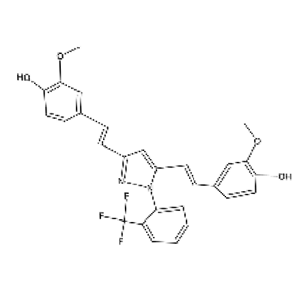 COc1cc(/C=C/c2cc(/C=C/c3ccc(O)c(OC)c3)n(-c3ccccc3C(F)(F)F)n2)ccc1O